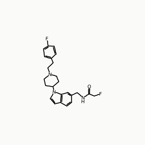 O=C(CF)NCc1ccc2ccn(C3CCN(CCc4ccc(F)cc4)CC3)c2c1